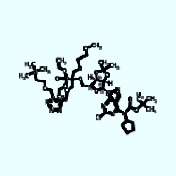 CCOP(=O)(OCC)C(COCCOC)(COCc1nnnn1COCC[Si](C)(C)C)OC[C@H]1O[C@@H](n2ncc3c(N(C(=O)OC(C)(C)C)C4CCCC4)nc(Cl)nc32)[C@@H]2OC(C)(C)O[C@@H]21